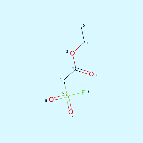 CCOC(=O)CS(=O)(=O)F